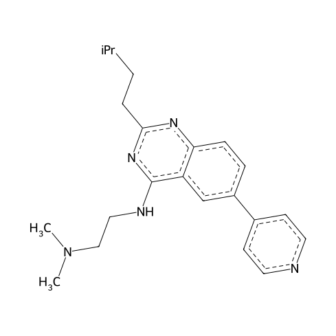 CC(C)CCc1nc(NCCN(C)C)c2cc(-c3ccncc3)ccc2n1